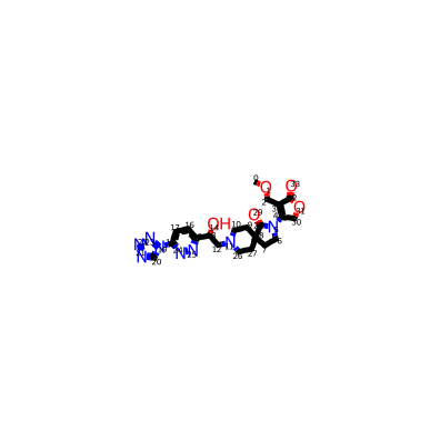 COCC1=C(N2CCC3(CCN(CC(O)c4ccc(-n5cnnn5)nn4)CC3)C2=O)COC1=O